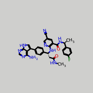 CNC(=O)C[C@@H](Nc1ncc(C#N)cc1C(=O)N[C@@H](C)c1ccc(F)cc1)c1ccc(-c2c[nH]c3ncnc(N)c23)cc1